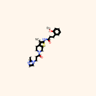 CCOc1ccccc1CCC(=O)Nc1sc2c(c1C#N)CCN(C(=O)CCn1ccnc1C)C2